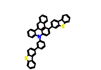 c1cc(-c2ccc3sc4ccccc4c3c2)cc(N(c2ccc(-c3ccc4c(c3)sc3ccccc34)cc2)c2ccccc2-c2ccc3ccccc3c2)c1